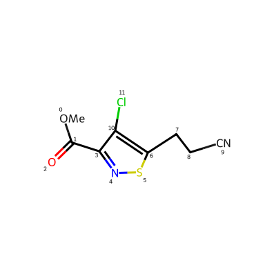 COC(=O)c1nsc(CCC#N)c1Cl